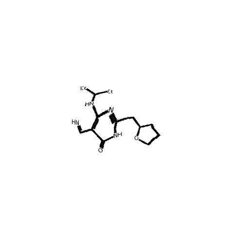 CCC(CC)Nc1nc(CC2CCCO2)[nH]c(=O)c1C=N